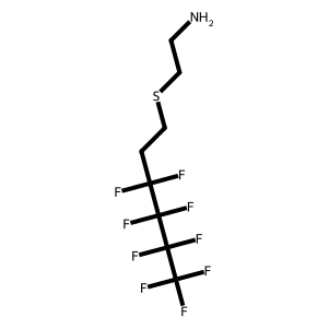 NCCSCCC(F)(F)C(F)(F)C(F)(F)C(F)(F)F